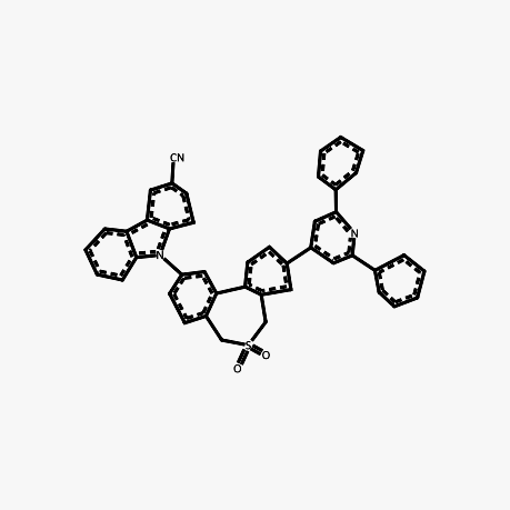 N#Cc1ccc2c(c1)c1ccccc1n2-c1ccc2c(c1)-c1ccc(-c3cc(-c4ccccc4)nc(-c4ccccc4)c3)cc1CS(=O)(=O)C2